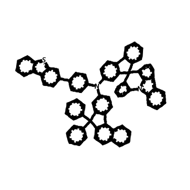 c1ccc(C2(c3ccccc3)c3cc(N(c4ccc(-c5ccc6c(c5)sc5ccccc56)cc4)c4ccc5c(c4)C4(c6ccccc6-5)c5ccccc5-n5c6ccccc6c6cccc4c65)ccc3-c3c2ccc2ccccc32)cc1